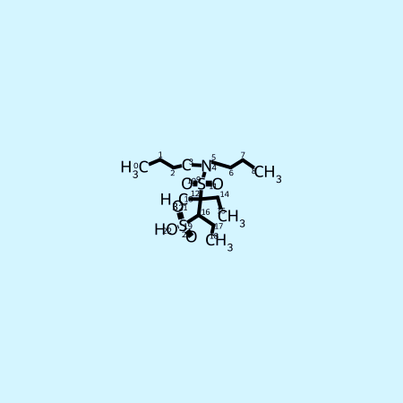 CCCCN(CCCC)S(=O)(=O)C(C)(CC)C(CC)S(=O)(=O)O